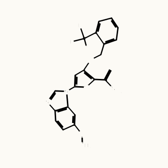 COc1ccc2ncn(-c3cc(OCc4ccccc4C(F)(F)F)c(C(N)=O)s3)c2c1